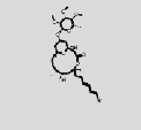 CO[C@@H]1[C@@H](OC)[C@H](C)O[C@@H](O[C@@H]2C[C@@H]3CC[C@@H](C)[C@H](O)C[C@@](C)(CC/C=C/C=C/Br)OC(=O)C[C@](O)(C2)O3)[C@@H]1OC